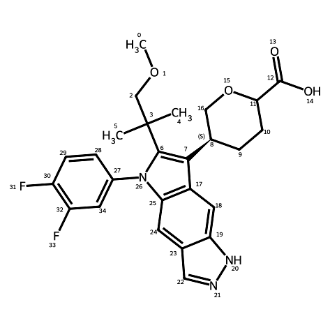 COCC(C)(C)c1c([C@@H]2CCC(C(=O)O)OC2)c2cc3[nH]ncc3cc2n1-c1ccc(F)c(F)c1